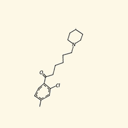 Cc1ccc(C(=O)CCCCCN2CC[CH]CC2)c(Cl)c1